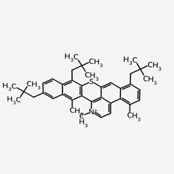 Cc1c2c(c(CC(C)(C)C)c3ccc(CC(C)(C)C)cc13)Sc1cc3c(CC(C)(C)C)ccc(C)c3c3cc[n+](C)c-2c13